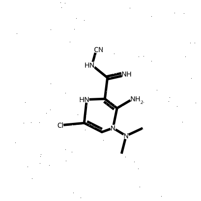 CN(C)N1C=C(Cl)NC(C(=N)NC#N)=C1N